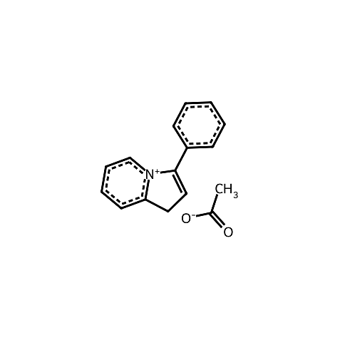 C1=C(c2ccccc2)[n+]2ccccc2C1.CC(=O)[O-]